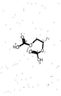 C[C@@H](COC(=O)O)OC(=O)O